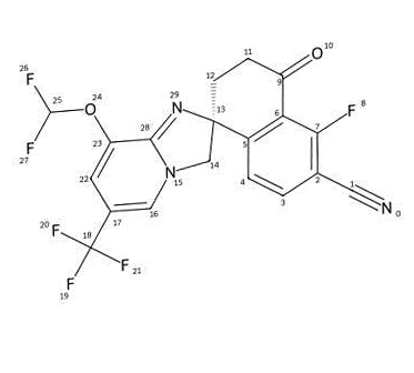 N#Cc1ccc2c(c1F)C(=O)CC[C@@]21CN2C=C(C(F)(F)F)C=C(OC(F)F)C2=N1